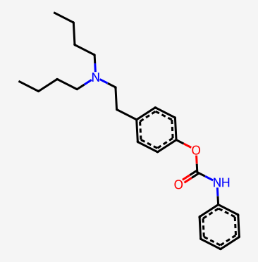 CCCCN(CCCC)CCc1ccc(OC(=O)Nc2ccccc2)cc1